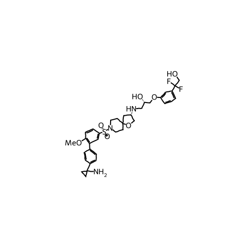 COc1ccc(S(=O)(=O)N2CCC3(CC2)C[C@H](NC[C@H](O)COc2cccc(C(F)(F)CO)c2)CO3)cc1-c1ccc(C2(N)CC2)cc1